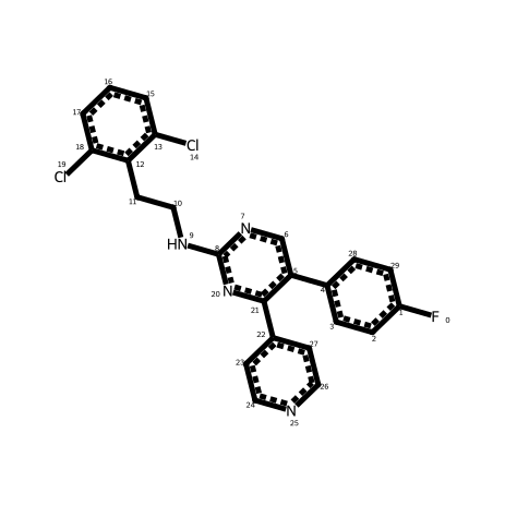 Fc1ccc(-c2cnc(NCCc3c(Cl)cccc3Cl)nc2-c2ccncc2)cc1